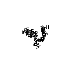 CN(C)c1cccc(C(=O)NCc2cccc(-c3cccc(CN4CCNCC4)c3)c2)c1.O=C(O)C(F)(F)F.O=C(O)C(F)(F)F.O=C(O)C(F)(F)F